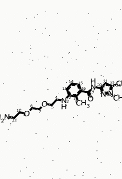 Cc1c(NCCOCCOCCN)cccc1C(=O)Nc1cc(C)n(C)n1